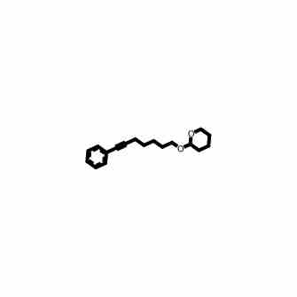 C(#Cc1ccccc1)CCCCCOC1CCCCO1